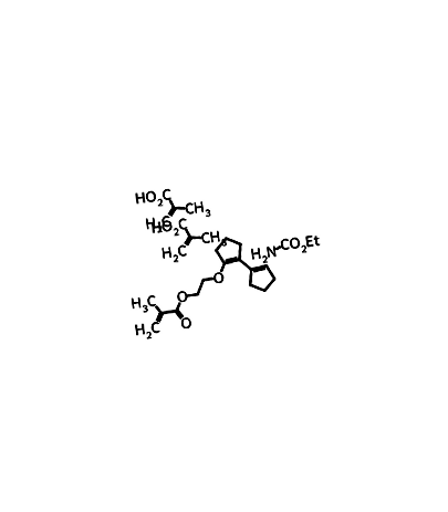 C=C(C)C(=O)O.C=C(C)C(=O)O.C=C(C)C(=O)OCCOC1=C(C2=CCCC2)CCC1.CCOC(N)=O